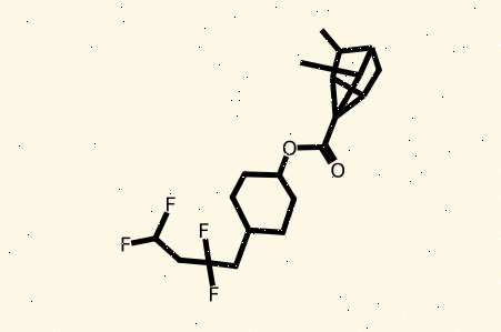 CC1C2CC3C1C3(C(=O)OC1CCC(CC(F)(F)CC(F)F)CC1)C2C